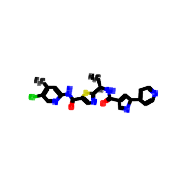 C[C@@H](NC(=O)C1=CC(c2ccncc2)N=C1)c1ncc(C(=O)Nc2cc(C(F)(F)F)c(Cl)cn2)s1